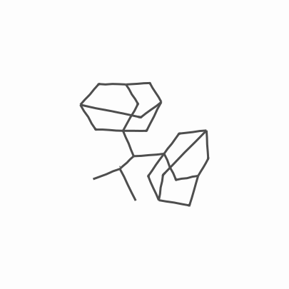 C[C](C)C(C12CC3CC(CC(C3)C1)C2)C12CC3CC(CC(C3)C1)C2